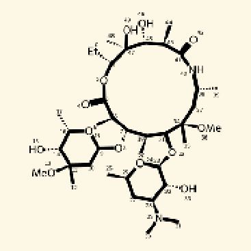 CC[C@H]1OC(=O)[C@H](C)[C@@H](OC2C[C@@](C)(OC)[C@H](O)[C@H](C)O2)[C@H](C)C(O[C@@H]2O[C@H](C)C[C@H](N(C)C)[C@H]2O)[C@](C)(OC)C[C@@H](C)NC(=O)[C@H](C)[C@@H](O)[C@]1(C)O